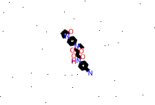 N#Cc1ccc(NC(=O)[C@H](O)[C@H]2OCCN(c3ccc(N4CCCC4=O)cc3)C2=O)cc1